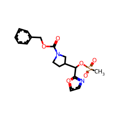 CS(=O)(=O)OC(c1ncco1)C1CCN(C(=O)OCc2ccccc2)C1